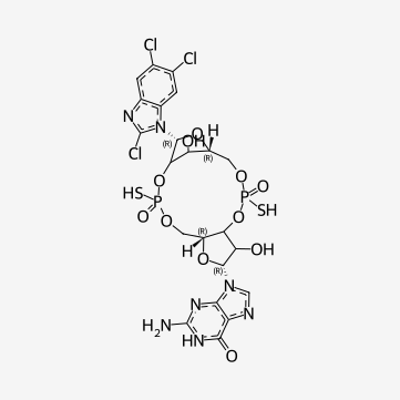 Nc1nc2c(ncn2[C@@H]2O[C@@H]3COP(=O)(S)OC4C(O)[C@@H](COP(=O)(S)OC3C2O)O[C@H]4n2c(Cl)nc3cc(Cl)c(Cl)cc32)c(=O)[nH]1